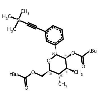 C[C@H]1[C@H](C)[C@@H](COC(=O)C(C)(C)C)O[C@H](c2cccc(C#C[Si](C)(C)C)c2)[C@H]1OC(=O)C(C)(C)C